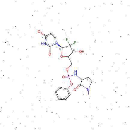 CN1CCC(NP(=O)(OCC2O[C@@H](n3ccc(=O)[nH]c3=O)C(F)(F)[C@@H]2O)Oc2ccccc2)C1=O